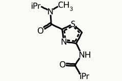 CC(C)C(=O)Nc1csc(C(=O)N(C)C(C)C)n1